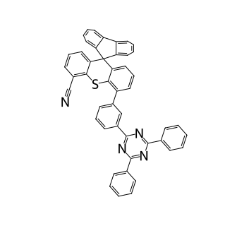 N#Cc1cccc2c1Sc1c(-c3cccc(-c4nc(-c5ccccc5)nc(-c5ccccc5)n4)c3)cccc1C21c2ccccc2-c2ccccc21